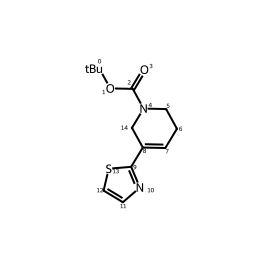 CC(C)(C)OC(=O)N1CCC=C(c2nccs2)C1